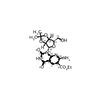 CCOC(=O)c1cc2c(=O)[nH]c(=O)n([C@@H]3O[C@H](CO)[C@H]4OC(C)(C)O[C@H]43)c2nc1N